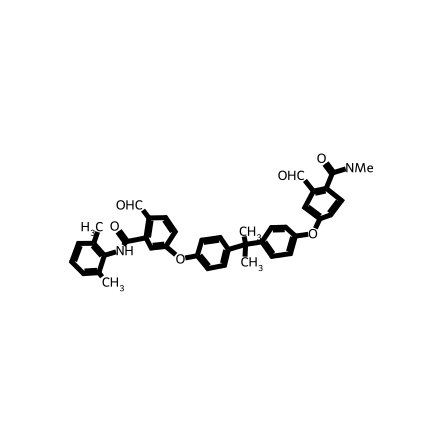 CNC(=O)c1ccc(Oc2ccc(C(C)(C)c3ccc(Oc4ccc(C=O)c(C(=O)Nc5c(C)cccc5C)c4)cc3)cc2)cc1C=O